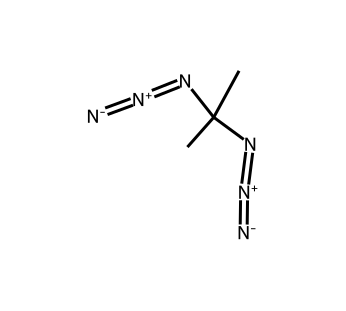 CC(C)(N=[N+]=[N-])N=[N+]=[N-]